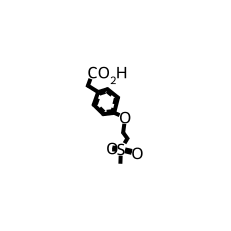 CS(=O)(=O)CCOc1ccc(CC(=O)O)cc1